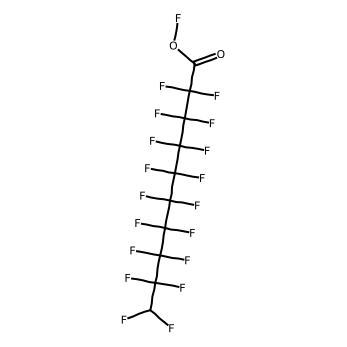 O=C(OF)C(F)(F)C(F)(F)C(F)(F)C(F)(F)C(F)(F)C(F)(F)C(F)(F)C(F)(F)C(F)F